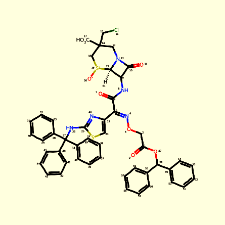 O=C(CON=C(C(=O)NC1C(=O)N2CC(CCl)(C(=O)O)C[S+]([O-])[C@H]12)c1csc(NC(c2ccccc2)(c2ccccc2)c2ccccc2)n1)OC(c1ccccc1)c1ccccc1